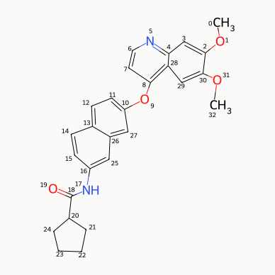 COc1cc2nccc(Oc3ccc4ccc(NC(=O)C5CCCC5)cc4c3)c2cc1OC